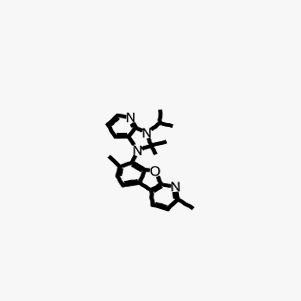 Cc1ccc2c(n1)oc1c(N3c4cccnc4N(C(C)C)C3(C)C)c(C)ccc12